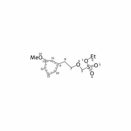 CCOS(=O)(=O)COCCc1cccc(OC)c1